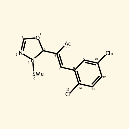 CSN1N=COC1C(=Cc1cc(Cl)ccc1Cl)C(C)=O